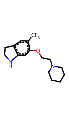 FC(F)(F)c1cc2c(cc1OCCN1CCCCC1)NCC2